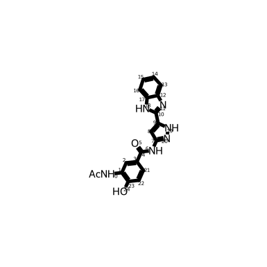 CC(=O)Nc1cc(C(=O)Nc2cc(-c3nc4ccccc4[nH]3)[nH]n2)ccc1O